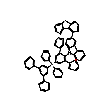 c1ccc(-c2cc(-c3ccccc3)cc([Si](c3ccccc3)(c3ccccc3)c3cc(-c4ccccc4)c(-n4c5ccccc5c5cc(-c6cccc7sc8ccccc8c67)ccc54)c(-c4ccccc4)c3)c2)cc1